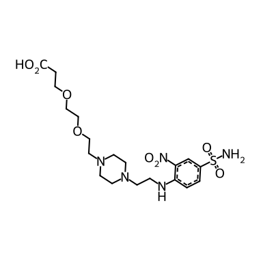 NS(=O)(=O)c1ccc(NCCN2CCN(CCOCCOCCC(=O)O)CC2)c([N+](=O)[O-])c1